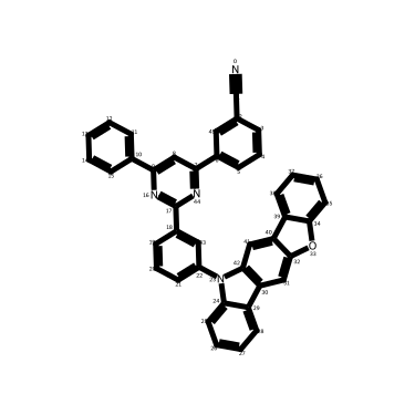 N#Cc1cccc(-c2cc(-c3ccccc3)nc(-c3cccc(-n4c5ccccc5c5cc6oc7ccccc7c6cc54)c3)n2)c1